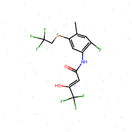 Cc1cc(F)c(NC(=O)/C=C(\O)C(F)(F)F)cc1SCC(F)(F)F